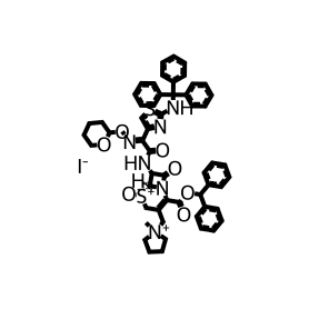 C[N+]1(CC2=C(C(=O)OC(c3ccccc3)c3ccccc3)N3C(=O)C(NC(=O)C(=NOC4CCCCO4)c4csc(NC(c5ccccc5)(c5ccccc5)c5ccccc5)n4)[C@@H]3[S+]([O-])C2)CCCC1.[I-]